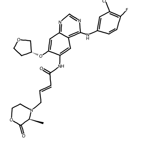 C[C@H]1C(=O)OCCN1CC=CC(=O)Nc1cc2c(Nc3ccc(F)c(Cl)c3)ncnc2cc1O[C@@H]1CCOC1